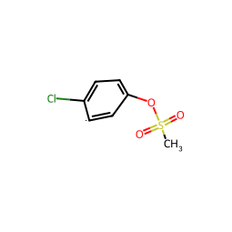 CS(=O)(=O)Oc1c[c]c(Cl)cc1